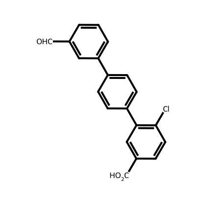 O=Cc1cccc(-c2ccc(-c3cc(C(=O)O)ccc3Cl)cc2)c1